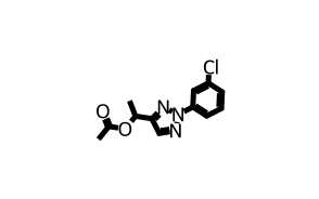 CC(=O)OC(C)c1cnn(-c2cccc(Cl)c2)n1